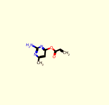 C=CC(=O)Oc1cc(C)nc(N)n1